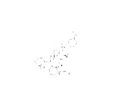 CCNc1cccc(NC(=O)NC2N=C(c3ccccn3)c3ccccc3N(CC(=O)C(C)(C)C)C2=O)c1